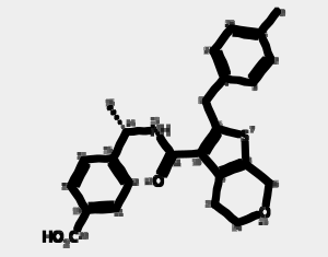 Cc1ccc(Cc2sc3c(c2C(=O)N[C@@H](C)c2ccc(C(=O)O)cc2)CCOC3)cc1